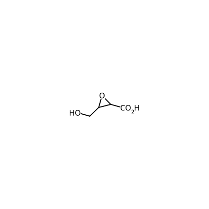 O=C(O)C1OC1CO